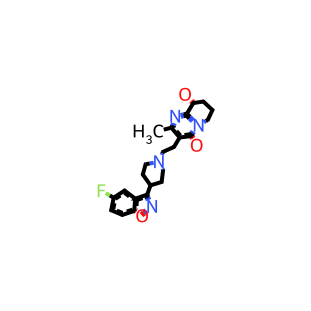 Cc1nc2n(c(=O)c1CCN1CCC(c3noc4ccc(F)cc34)CC1)CCCC2=O